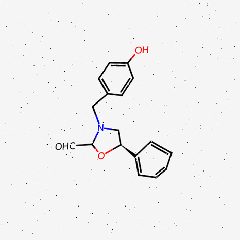 O=CC1O[C@H](c2ccccc2)CN1Cc1ccc(O)cc1